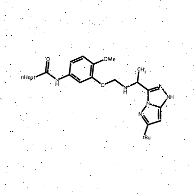 CCCCCCCC(=O)Nc1ccc(OC)c(OCNC(C)c2n[nH]c3cc(C(C)(C)C)nn23)c1